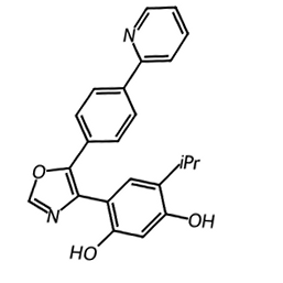 CC(C)c1cc(-c2ncoc2-c2ccc(-c3ccccn3)cc2)c(O)cc1O